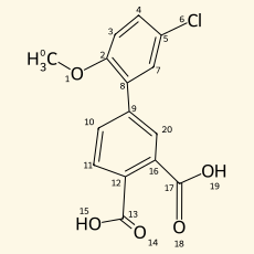 COc1ccc(Cl)cc1-c1ccc(C(=O)O)c(C(=O)O)c1